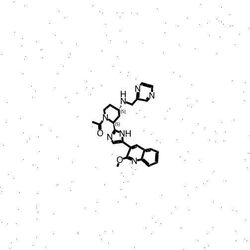 COc1nc2ccccc2cc1-c1cnc([C@@H]2C[C@@H](NCc3cnccn3)CCN2C(C)=O)[nH]1